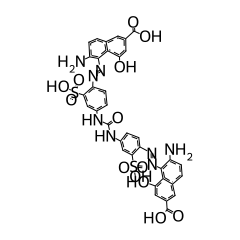 Nc1ccc2cc(C(=O)O)cc(O)c2c1N=Nc1ccc(NC(=O)Nc2ccc(N=Nc3c(N)ccc4cc(C(=O)O)cc(O)c34)c(S(=O)(=O)O)c2)cc1S(=O)(=O)O